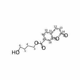 O=C(OCCCCO)c1ccc2ccc(=O)oc2c1